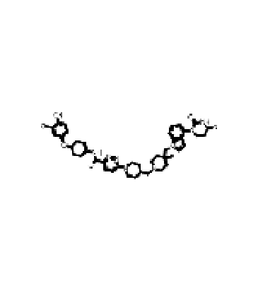 N#Cc1ccc(OC2CCC(NC(=O)c3ccc(N4CCC(CN5CCC(F)(Cn6ccc7c(N8CCC(=O)NC8=O)cccc76)CC5)CC4)nn3)CC2)cc1Cl